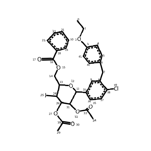 CCOc1ccc(Cc2cc(C3OC(COC(=O)c4ccccc4)C(I)C(OC(C)=O)C3OC(C)=O)ccc2Cl)cc1